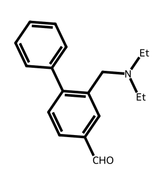 CCN(CC)Cc1cc(C=O)ccc1-c1ccccc1